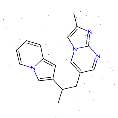 Cc1cn2cc(CC(C)c3cc4ccccn4c3)cnc2n1